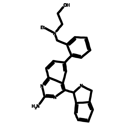 CCN(CCO)Cc1ccccc1-c1ccc2nc(N)nc(C3[N]Cc4ccccc43)c2c1